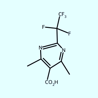 Cc1nc(C(F)(F)C(F)(F)F)nc(C)c1C(=O)O